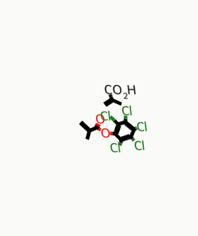 C=C(C)C(=O)O.C=C(C)C(=O)Oc1c(Cl)c(Cl)c(Cl)c(Cl)c1Cl